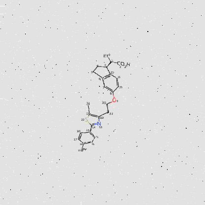 CCC(C(=O)O)[C@@H]1CCc2cc(OCCc3nc(-c4ccc(C(C)C)cc4)sc3C)ccc21